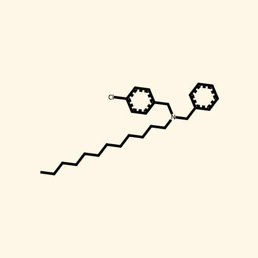 CCCCCCCCCCCCN(Cc1ccccc1)Cc1ccc(Cl)cc1